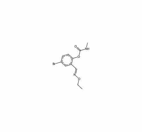 CCON=Cc1cc(Br)ccc1OC(=O)NC